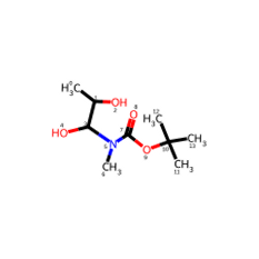 CC(O)C(O)N(C)C(=O)OC(C)(C)C